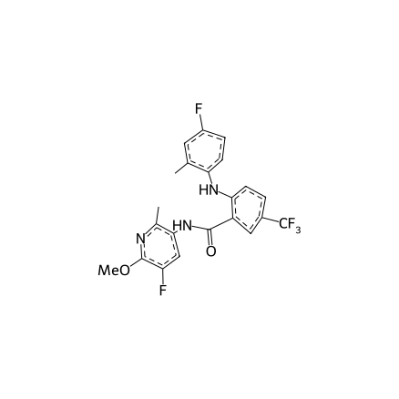 COc1nc(C)c(NC(=O)c2cc(C(F)(F)F)ccc2Nc2ccc(F)cc2C)cc1F